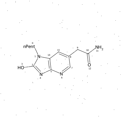 CCCCCn1c(O)nc2ncc(CC(N)=O)cc21